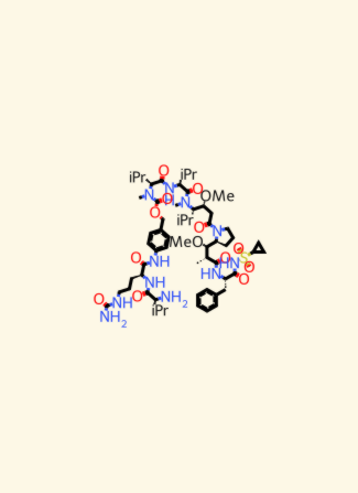 CO[C@H]([C@@H](C)C(=O)N[C@@H](Cc1ccccc1)C(=O)NS(=O)(=O)C1CC1)[C@@H]1CCCN1C(=O)C[C@@H](OC)[C@H](C(C)C)N(C)C(=O)[C@@H](NC(=O)[C@H](C(C)C)N(C)C(=O)OCc1ccc(NC(=O)[C@H](CCCNC(N)=O)NC(=O)[C@@H](N)C(C)C)cc1)C(C)C